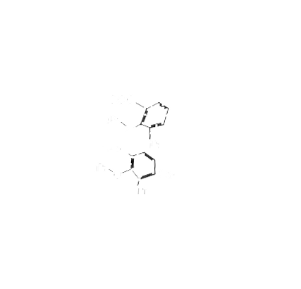 CC(C)Oc1c(C(=O)[O-])cccc1C(C)C.CC(C)Oc1c(C(=O)[O-])cccc1C(C)C.[Ca+2]